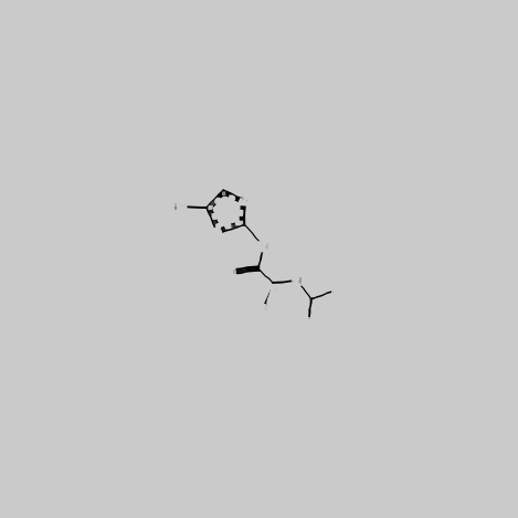 CCC[C@H](NC(CC)CC)C(=O)Nc1ncc(C(C)C)s1